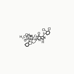 Cn1c(N2CCC3(CC2)Cc2ccccc2[C@H]3N[S+]([O-])C(C)(C)C)nc2[nH]nc(Sc3cccc(Cl)c3Cl)c2c1=O